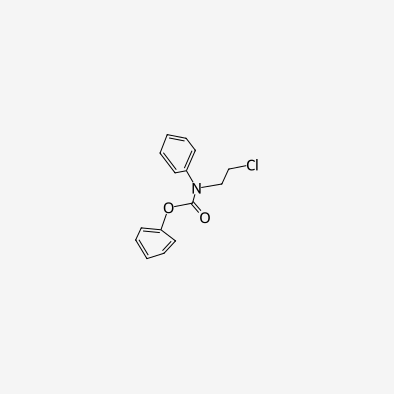 O=C(Oc1ccccc1)N(CCCl)c1ccccc1